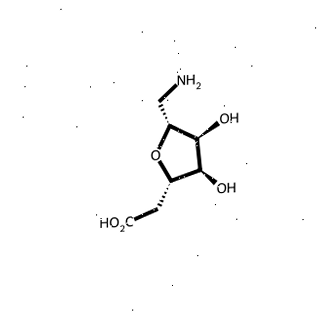 NC[C@H]1O[C@@H](CC(=O)O)[C@H](O)[C@@H]1O